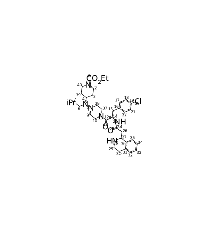 CCOC(=O)N1CCC(N(CC(C)C)N2CCN(C(=O)[C@@H](Cc3ccc(Cl)cc3)NC(=O)CC3NCCc4ccccc43)CC2)CC1